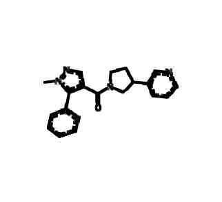 Cn1ncc(C(=O)N2CCC(c3cccnc3)C2)c1-c1ccccc1